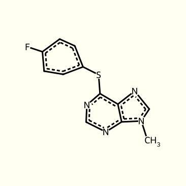 Cn1cnc2c(Sc3ccc(F)cc3)ncnc21